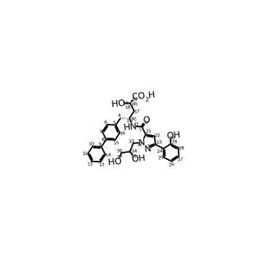 O=C(N[C@H](Cc1ccc(-c2ccccc2)cc1)C[C@@H](O)C(=O)O)c1cc(-c2ccccc2O)nn1CC(O)CO